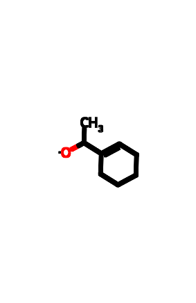 CC([O])C1=CCCCC1